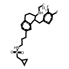 CCNC1CCc2ccc(CCCNS(=O)(=O)CC3CC3)cc2C1Cc1ccc(F)c(F)c1